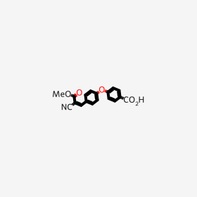 COC(=O)C(C#N)=Cc1ccc(Oc2ccc(C(=O)O)cc2)cc1